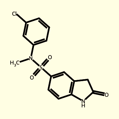 CN(c1cccc(Cl)c1)S(=O)(=O)c1ccc2c(c1)CC(=O)N2